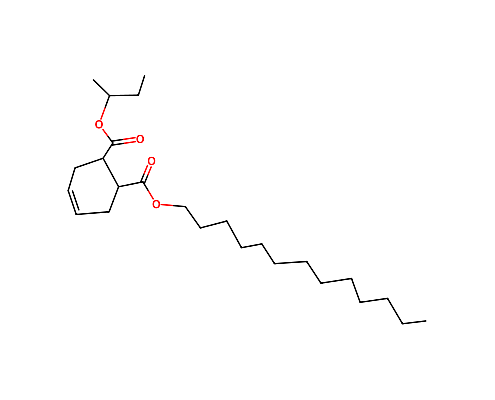 CCCCCCCCCCCCCOC(=O)C1CC=CCC1C(=O)OC(C)CC